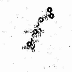 COc1cc2c(cc1CNC[C@H](O)c1ccc(O)c3c1OCC(=O)N3)NC(=O)CN2C(=O)CCN1CCC(OC(=O)Nc2ccccc2-c2ccccc2)CC1